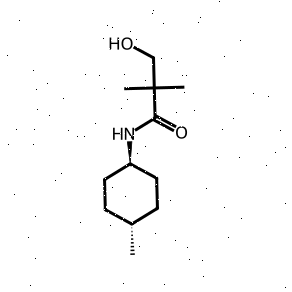 CC(C)(CO)C(=O)N[C@H]1CC[C@H](C)CC1